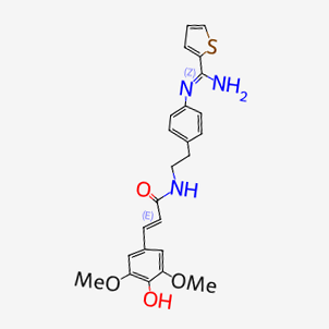 COc1cc(/C=C/C(=O)NCCc2ccc(/N=C(\N)c3cccs3)cc2)cc(OC)c1O